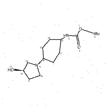 CC(C)(C)OC(=O)NC1CCC(N2CC[C@@H](O)C2)CC1